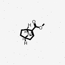 COC(=O)C1=CC[C@@H]2CC[C@H]1N2C